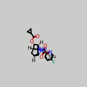 CC(C)(C)OC(=O)NC12C[C@H]3C[C@@H]1[C@@H](OC(=O)C1CC1)[C@H]2N(C(=O)c1ccc(F)cn1)C3